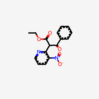 CCOC(=O)C(C(=O)c1ccccc1)c1ncccc1[N+](=O)[O-]